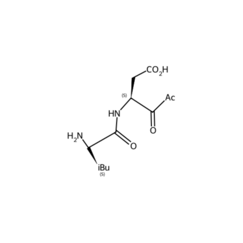 CC[C@H](C)C(N)C(=O)N[C@@H](CC(=O)O)C(=O)C(C)=O